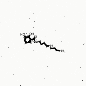 NCCCNCCCCNC(=O)c1cccc(O)c1O